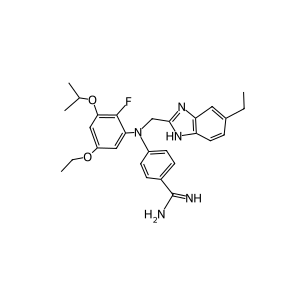 CCOc1cc(OC(C)C)c(F)c(N(Cc2nc3cc(CC)ccc3[nH]2)c2ccc(C(=N)N)cc2)c1